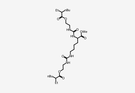 CCCCC(CC)C(=O)OCCNC(=O)NCCCCC(NC(=O)NCCOC(=O)C(CC)CCCC)C(=O)OC